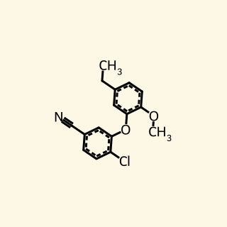 CCc1ccc(OC)c(Oc2cc(C#N)ccc2Cl)c1